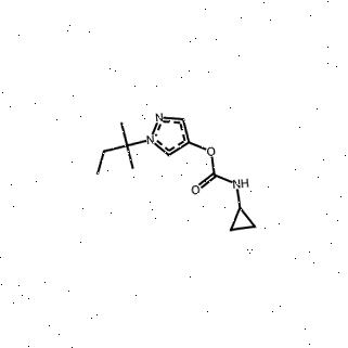 CCC(C)(C)n1cc(OC(=O)NC2CC2)cn1